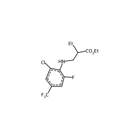 CCOC(=O)C(CC)CNc1c(F)cc(C(F)(F)F)cc1Cl